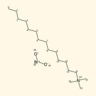 CCCCCCCCCCCCCC[N+](C)(C)C.[O-][Br+][O-]